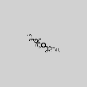 NC[C@H]1CN(c2ccc(C3[C@H]4CN(C(=O)CO)C[C@@H]34)c(F)c2)C(=O)O1